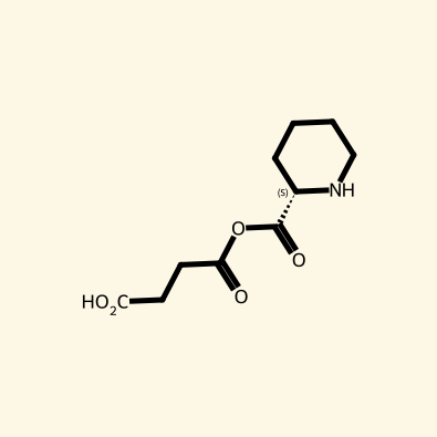 O=C(O)CCC(=O)OC(=O)[C@@H]1CCCCN1